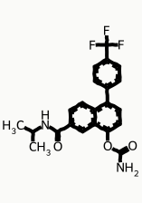 CC(C)NC(=O)c1ccc2c(-c3ccc(C(F)(F)F)cc3)ccc(OC(N)=O)c2c1